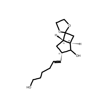 OCCCCC=C[C@@H]1C[C@H]2[C@@H](CC23OCCO3)C1O